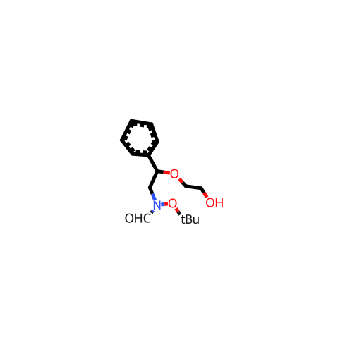 CC(C)(C)ON(C=O)CC(OCCO)c1ccccc1